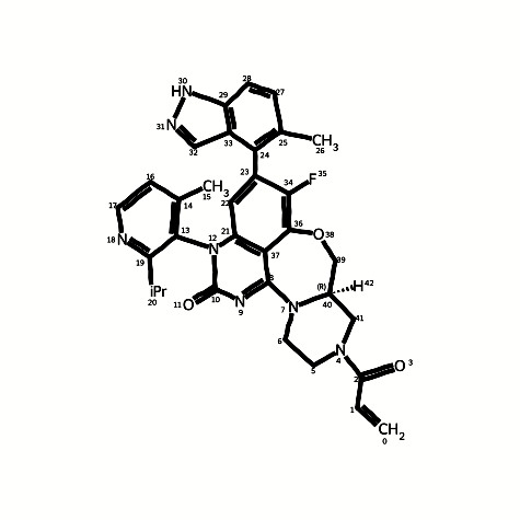 C=CC(=O)N1CCN2c3nc(=O)n(-c4c(C)ccnc4C(C)C)c4cc(-c5c(C)ccc6[nH]ncc56)c(F)c(c34)OC[C@H]2C1